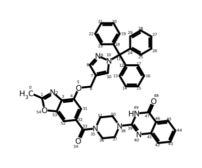 Cc1nc2c(OCc3cnn(C(c4ccccc4)(c4ccccc4)c4ccccc4)c3)cc(C(=O)N3CCN(c4nc5ccccc5c(=O)[nH]4)CC3)cc2o1